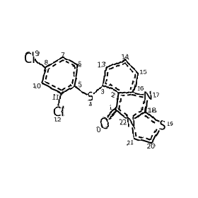 O=c1c2c(Sc3ccc(Cl)cc3Cl)cccc2nc2sccn12